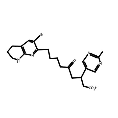 Cc1ncc(C(CC(=O)O)CC(=O)CCCCc2nc3c(cc2Br)CCCN3)cn1